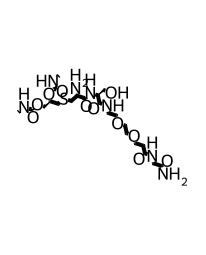 CNC(=O)OC[C@H](CSC[C@H](N)C(=O)N[C@@H](CO)C(=O)NCCOCCOCCC(=O)NCC(N)=O)OC(=O)NC